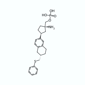 N[C@]1(COP(=O)(O)O)CC[C@H](c2ccc3c(c2)CC[C@H](CSc2ccccc2)C3)C1